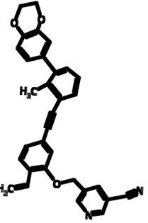 C=Cc1ccc(C#Cc2cccc(-c3ccc4c(c3)OCCO4)c2C)cc1OCc1cncc(C#N)c1